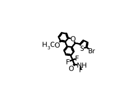 COc1cccc2c1-c1ccc(C(F)(F)C(=O)NF)cc1C(c1ccc(Br)s1)O2